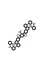 CC(C)c1ccccc1N(c1ccc2cc3c(cc2c1)oc1c(C(C)C)c2c(cc13)oc1cc3cc(N(c4ccccc4-c4ccccc4)c4ccccc4C(C)C)ccc3cc12)c1ccccc1-c1ccccc1